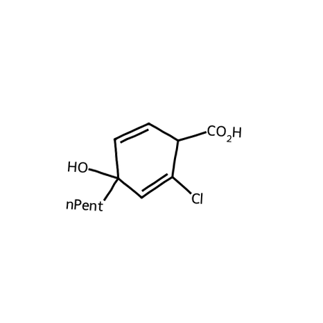 CCCCCC1(O)C=CC(C(=O)O)C(Cl)=C1